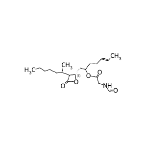 CC=CCCC(C[C@@H]1OC(=O)C1C(C)CCCCC)OC(=O)CNC=O